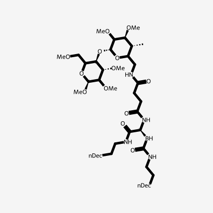 CCCCCCCCCCCCNC(=O)B[C@H](NC(=O)CCC(=O)NCC1O[C@H](O[C@@H]2C(COC)O[C@H](OC)C(OC)[C@H]2OC)C(OC)[C@@H](OC)[C@@H]1C)C(=O)NCCCCCCCCCCCC